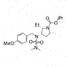 CC[C@H]1[C@@H](N(Cc2ccc(OC)cc2)S(=O)(=O)N(C)C)C[C@@H](C)N1C(=O)OC(C)C